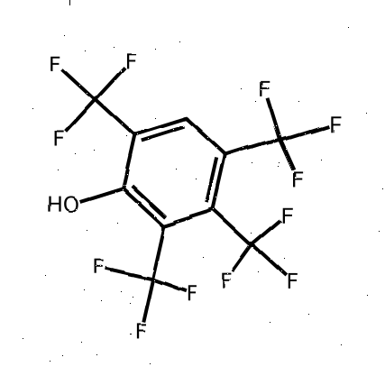 Oc1c(C(F)(F)F)cc(C(F)(F)F)c(C(F)(F)F)c1C(F)(F)F